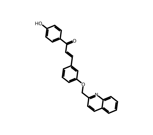 O=C(/C=C/c1cccc(OCc2ccc3ccccc3n2)c1)c1ccc(O)cc1